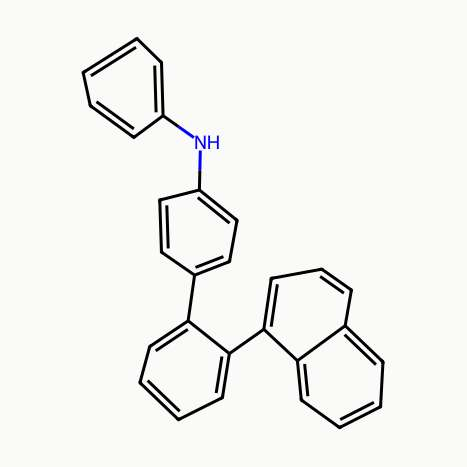 c1ccc(Nc2ccc(-c3ccccc3-c3cccc4ccccc34)cc2)cc1